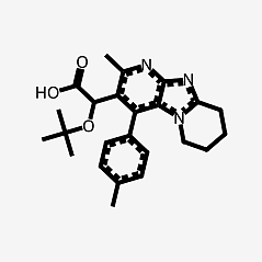 Cc1ccc(-c2c(C(OC(C)(C)C)C(=O)O)c(C)nc3nc4n(c23)CCCC4)cc1